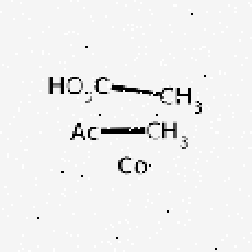 CC(=O)O.CC(C)=O.[Co]